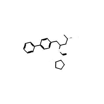 C[C@H](CC(Cc1ccc(-c2ccccc2)cc1)NC(=O)[C@@H]1CCC[C@@H]1C(=O)O)C(=O)O